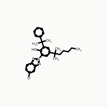 CCCCCC(C)(C)c1cc(-n2nc3ccc(Cl)cc3n2)c(O)c(C(C)(C)c2ccccc2)c1